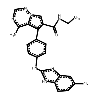 N#Cc1ccc2[nH]c(Nc3ccc(-c4c(C(=O)NCC(F)(F)F)cn5ncnc(N)c45)cc3)nc2c1